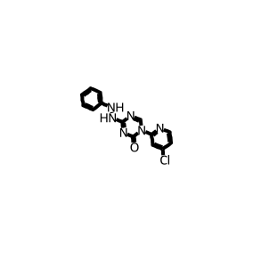 O=c1nc(NNc2ccccc2)ncn1-c1cc(Cl)ccn1